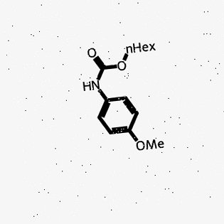 CCCCCCOC(=O)Nc1ccc(OC)cc1